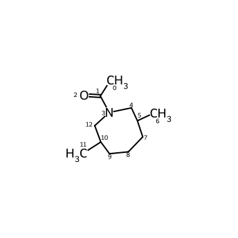 CC(=O)N1CC(C)CCCC(C)C1